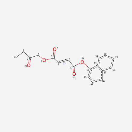 CCC(=O)COC(=O)/C=C/C(=O)Oc1cccc2ccccc12